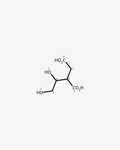 O=C(O)CC(C(=O)O)C(O)CO